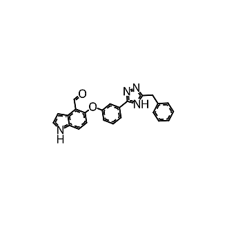 O=Cc1c(Oc2cccc(-c3nnc(Cc4ccccc4)[nH]3)c2)ccc2[nH]ccc12